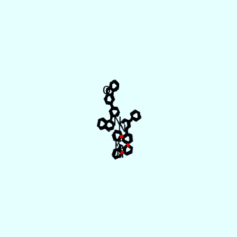 I[SH](c1ccccc1)(c1ccccc1)(c1ccccc1)c1cccc(-c2cc(-c3ccccc3)cc(-n3c4ccc(-c5ccc6oc7ccccc7c6c5)cc4c4c5ccccc5ccc43)n2)c1